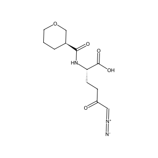 [N-]=[N+]=CC(=O)CC[C@H](NC(=O)[C@H]1CCCOC1)C(=O)O